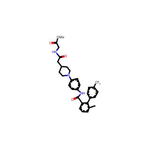 COC(=O)CNC(=O)CC1CCN(c2ccc(NC(=O)c3cccc(C)c3-c3ccc(C(F)(F)F)cc3)cc2)CC1